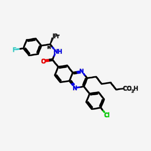 CC(C)[C@@H](NC(=O)c1ccc2nc(-c3ccc(Cl)cc3)c(CCCCC(=O)O)nc2c1)c1ccc(F)cc1